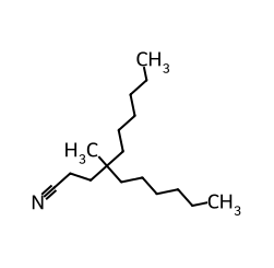 CCCCCCC(C)(CCC#N)CCCCCC